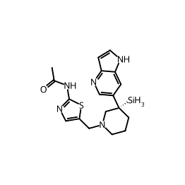 CC(=O)Nc1ncc(CN2CCC[C@]([SiH3])(c3cnc4cc[nH]c4c3)C2)s1